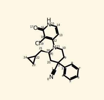 N#CC1(c2ccccc2)CCN(c2cc[nH]c(=O)c2Cl)[C@H](CC2CC2)C1